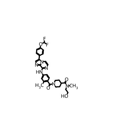 Cc1cc(Nc2nccn3c(-c4ccc(OC(F)F)cc4)cnc23)ccc1C(=O)N1CCC(C(=O)N(C)CCO)CC1